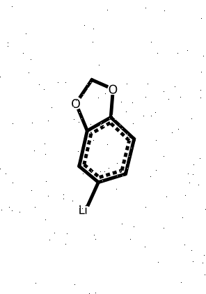 [Li][c]1ccc2c(c1)OCO2